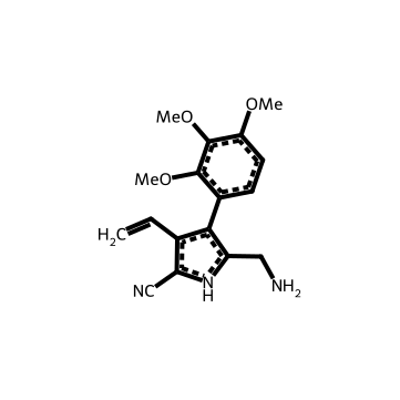 C=Cc1c(C#N)[nH]c(CN)c1-c1ccc(OC)c(OC)c1OC